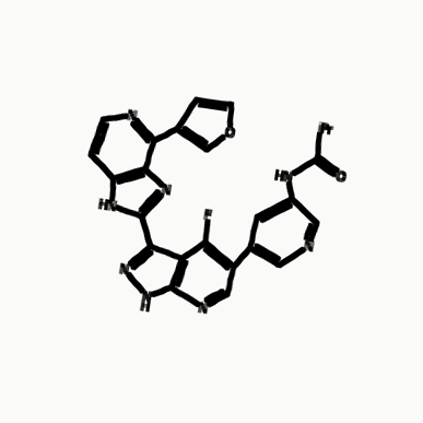 CC(C)C(=O)Nc1cncc(-c2cnc3[nH]nc(-c4nc5c(-c6ccoc6)nccc5[nH]4)c3c2F)c1